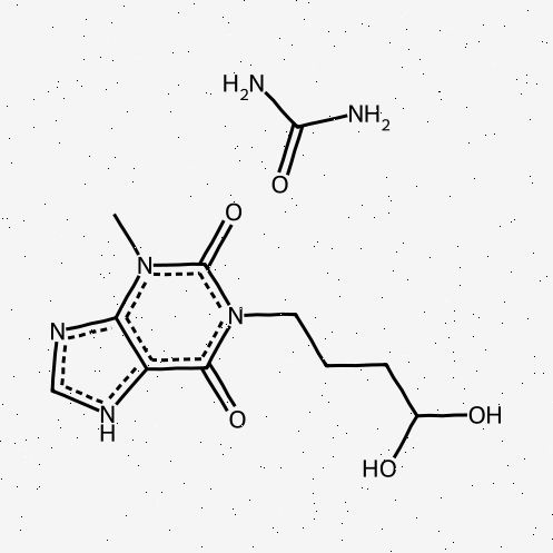 Cn1c(=O)n(CCCC(O)O)c(=O)c2[nH]cnc21.NC(N)=O